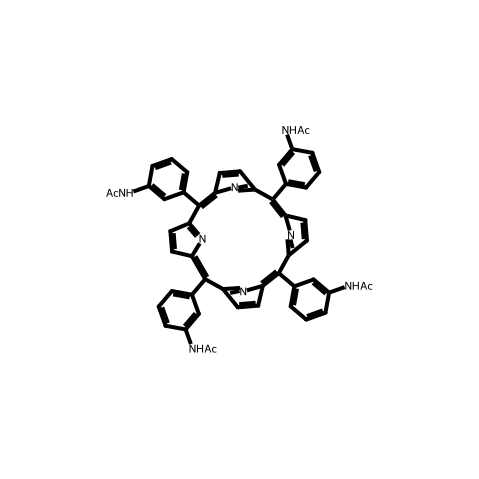 CC(=O)Nc1cccc(C2=C3C=CC(=N3)C(c3cccc(NC(C)=O)c3)=C3C=CC(=N3)C(c3cccc(NC(C)=O)c3)=C3C=CC(=N3)C(c3cccc(NC(C)=O)c3)=C3C=CC2=N3)c1